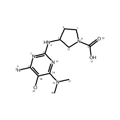 [2H]c1nc(NC2CCN(C(=O)O)C2)nc(N(C)C)c1Cl